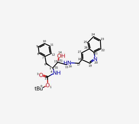 CC(C)(C)OC(=O)N[C@@H](Cc1ccccc1)[C@@H](O)CNCc1cnc2ccccc2c1